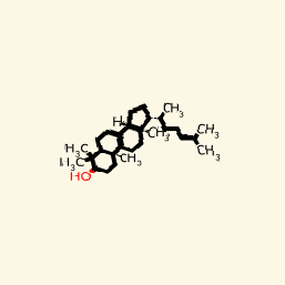 CC(C)=CCCC(C)[C@H]1CC[C@H]2C3=C(CC[C@]12C)[C@@]1(C)CCC(O)C(C)(C)C1CC3